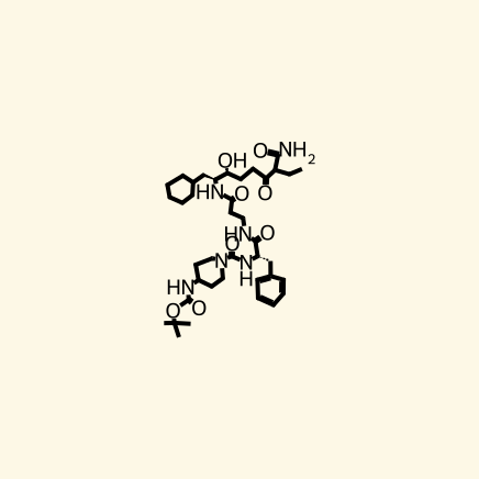 CCC(C(N)=O)C(=O)CC[C@H](O)[C@H](CC1CCCCC1)NC(=O)CCNC(=O)[C@H](Cc1ccccc1)NC(=O)N1CCC(NC(=O)OC(C)(C)C)CC1